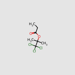 CCC(=O)OC(C)(C)C(Cl)(Cl)Cl